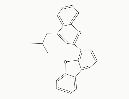 CC(C)Cc1cc(-c2cccc3c2oc2ccccc23)nc2ccccc12